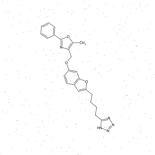 Cc1oc(-c2ccccc2)nc1COc1ccc2cc(CCCCc3nnn[nH]3)oc2c1